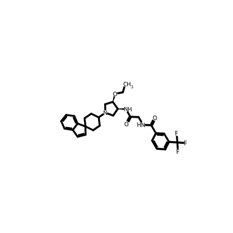 CCO[C@@H]1CN(C2CCC3(C=Cc4ccccc43)CC2)C[C@@H]1NC(=O)CNC(=O)c1cccc(C(F)(F)F)c1